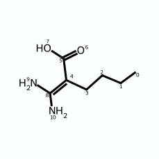 CCCCC(C(=O)O)=C(N)N